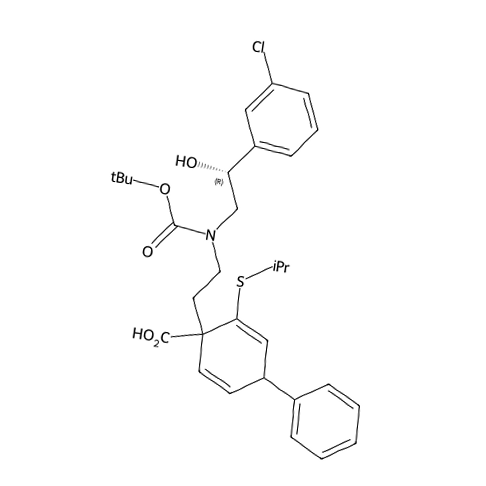 CC(C)SC1=CC(c2ccccc2)C=CC1(CCN(C[C@H](O)c1cccc(Cl)c1)C(=O)OC(C)(C)C)C(=O)O